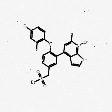 CCS(=O)(=O)Cc1ccc(Oc2ccc(F)cc2F)c(-c2cc(C)[n+]([O-])c3[nH]ccc23)c1